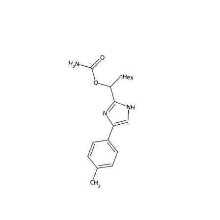 CCCCCCC(OC(N)=O)c1nc(-c2ccc(C)cc2)c[nH]1